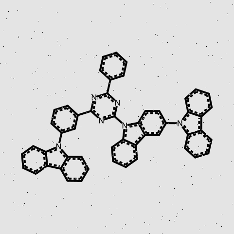 c1ccc(-c2nc(-c3cccc(-n4c5ccccc5c5ccccc54)c3)nc(-n3c4ccccc4c4cc(-n5c6ccccc6c6ccccc65)ccc43)n2)cc1